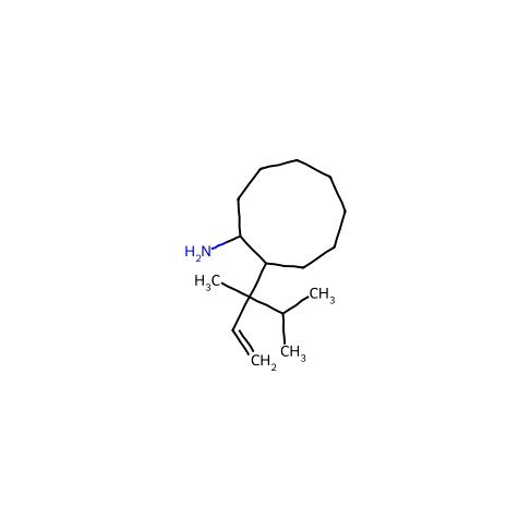 C=CC(C)(C(C)C)C1CCCCCCCC1N